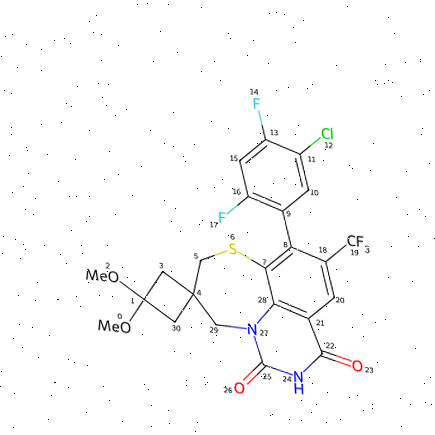 COC1(OC)CC2(CSc3c(-c4cc(Cl)c(F)cc4F)c(C(F)(F)F)cc4c(=O)[nH]c(=O)n(c34)C2)C1